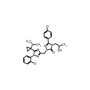 CN(C)C1(c2nc(Cn3nc(-c4ccc(Cl)cc4)n(CC(O)C(F)(F)F)c3=O)nn2-c2ccccc2Cl)CC1